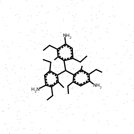 CCc1cc(N)c(CC)c(C)c1C(c1c(CC)cc(N)c(CC)c1C)c1c(CC)cc(N)c(CC)c1C